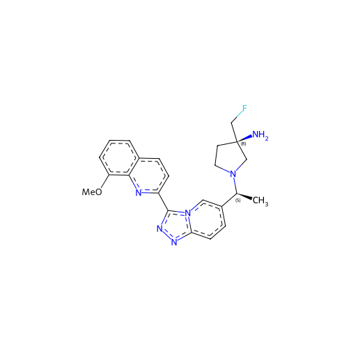 COc1cccc2ccc(-c3nnc4ccc([C@H](C)N5CC[C@](N)(CF)C5)cn34)nc12